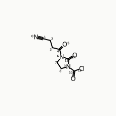 N#CCCC(=O)N1CCN(C(=O)Cl)C1=O